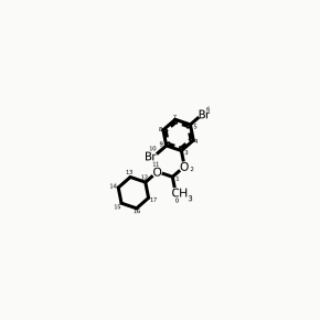 CC(Oc1cc(Br)ccc1Br)OC1CCCCC1